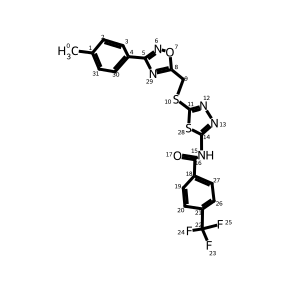 Cc1ccc(-c2noc(CSc3nnc(NC(=O)c4ccc(C(F)(F)F)cc4)s3)n2)cc1